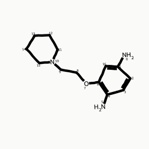 Nc1ccc(N)c(OCCN2CCCCC2)c1